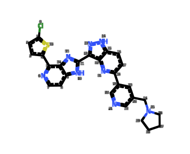 Clc1ccc(-c2nccc3[nH]c(-c4n[nH]c5ccc(-c6cncc(CN7CCCC7)c6)nc45)nc23)s1